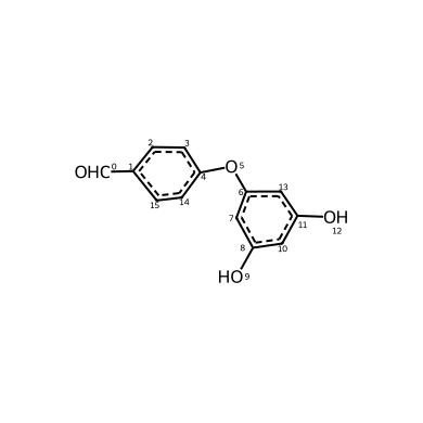 O=Cc1ccc(Oc2cc(O)cc(O)c2)cc1